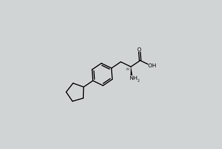 N[C@@H](Cc1ccc(C2CCCC2)cc1)C(=O)O